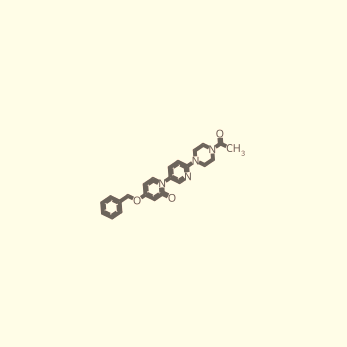 CC(=O)N1CCN(c2ccc(-n3ccc(OCc4ccccc4)cc3=O)cn2)CC1